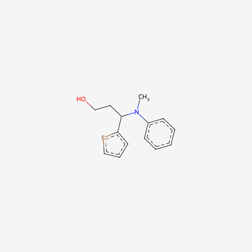 CN(c1ccccc1)C(CCO)c1cccs1